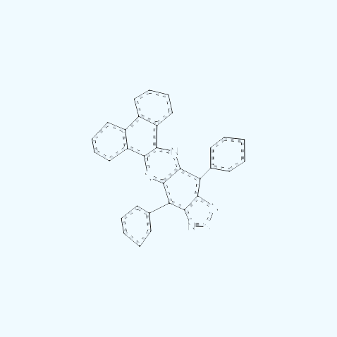 c1ccc(-c2c3nsnc3c(-c3ccccc3)c3nc4c5ccccc5c5ccccc5c4nc23)cc1